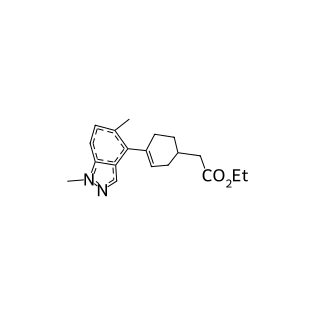 CCOC(=O)CC1CC=C(c2c(C)ccc3c2cnn3C)CC1